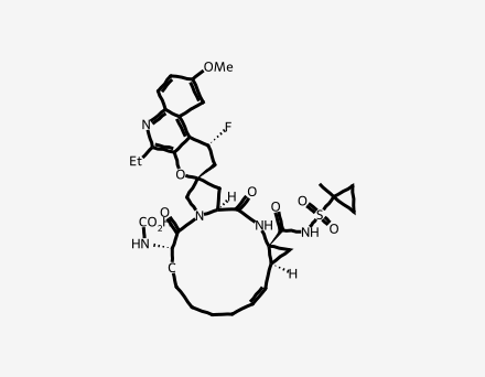 CCc1nc2ccc(OC)cc2c2c1O[C@]1(C[C@H]2F)C[C@H]2C(=O)N[C@]3(C(=O)NS(=O)(=O)C4(C)CC4)C[C@H]3/C=C\CCCCC[C@H](NC(=O)O)C(=O)N2C1